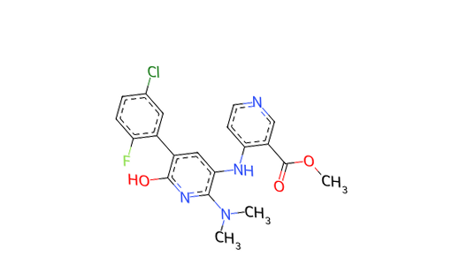 COC(=O)c1cnccc1Nc1cc(-c2cc(Cl)ccc2F)c(O)nc1N(C)C